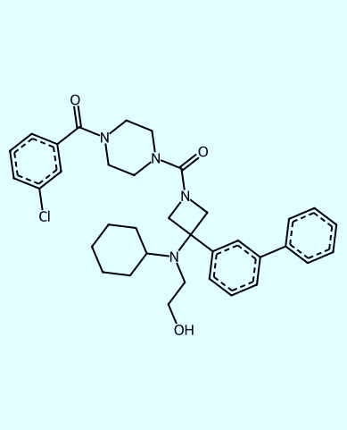 O=C(c1cccc(Cl)c1)N1CCN(C(=O)N2CC(c3cccc(-c4ccccc4)c3)(N(CCO)C3CCCCC3)C2)CC1